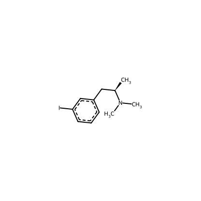 C[C@H](Cc1cccc(I)c1)N(C)C